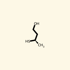 C[C@@H](S)CCO